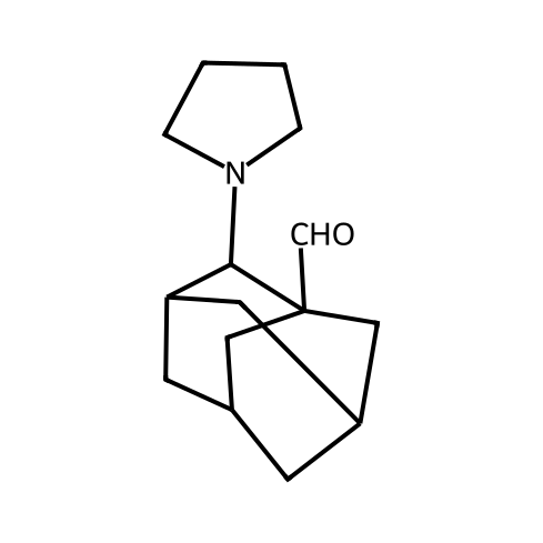 O=CC12CC3CC(CC(C3)C1N1CCCC1)C2